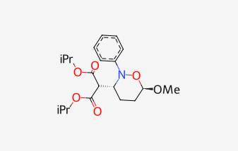 CO[C@H]1CC[C@H](C(C(=O)OC(C)C)C(=O)OC(C)C)N(c2ccccc2)O1